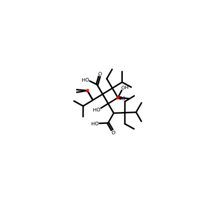 CCC(CC)(C(C)C)C(C(=O)O)C(O)(C(=O)O)C(C(=O)O)(C(CC)(CC)C(C)C)C(CC)(CC)C(C)C